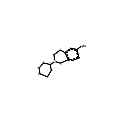 CC(C)(C)c1ccc2c(c1)CCN(C1CCCCC1)C2